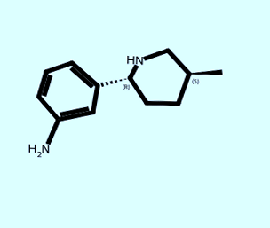 C[C@H]1CC[C@H](c2cccc(N)c2)NC1